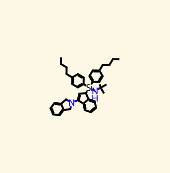 CCCCc1ccc([Si](NC(C)(C)C)(c2ccc(CCCC)cc2)C2C=C(N3Cc4ccccc4C3)c3ccccc32)cc1